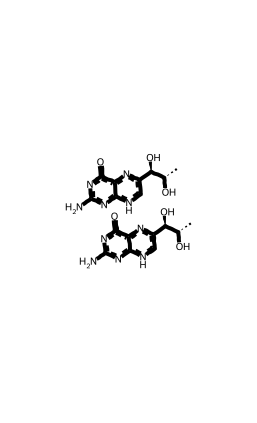 C[C@H](O)[C@H](O)c1c[nH]c2nc(N)nc(=O)c-2n1.C[C@H](O)[C@H](O)c1c[nH]c2nc(N)nc(=O)c-2n1